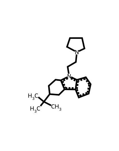 CC(C)(C)C1CCc2c(c3ccccc3n2CCN2CCCC2)C1